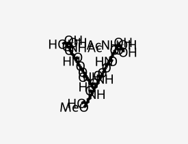 COCC(CO)CCCCNC(=O)C[C@H](CCCCNC(=O)COCCOCCNC(=O)CCCCO[C@@H]1OC(CO)[C@@H](O)[C@H](O)C1NC(C)=O)NC(=O)CCCNC(=O)COCCOCCNC(=O)CCCCO[C@@H]1OC(CO)[C@@H](O)[C@H](O)C1NC(C)=O